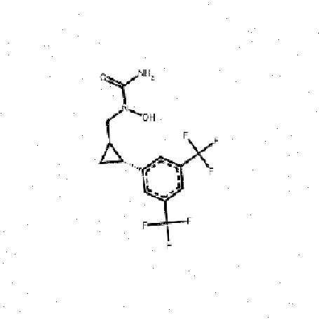 NC(=O)N(O)C[C@@H]1C[C@H]1c1cc(C(F)(F)F)cc(C(F)(F)F)c1